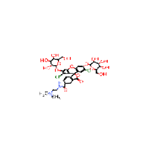 CN(C)CCNC(=O)c1ccc2c(c1)C(=O)OC21c2cc(Cl)c(OC3OC(CO)C(O)C(O)C3O)cc2Oc2cc(OC3OC(CO)C(O)C(O)C3O)c(Cl)cc21